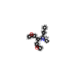 CC[C@@H]1C(c2ccccc2)=NC(c2cc(-c3ccc4oc5ccccc5c4c3)cc(-c3ccc4oc5ccccc5c4c3)c2)=CC1c1ccc(-c2ccccc2)cc1